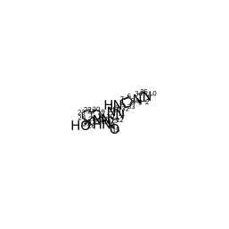 CN1CCN(c2ccc(Nc3ncc4c(=O)[nH]n(C5CC=C6CCCC(C)(O)C6=N5)c4n3)cc2)CC1